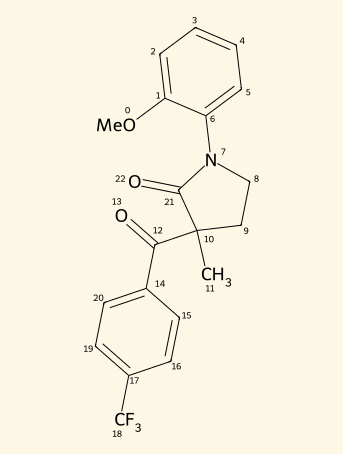 COc1ccccc1N1CCC(C)(C(=O)c2ccc(C(F)(F)F)cc2)C1=O